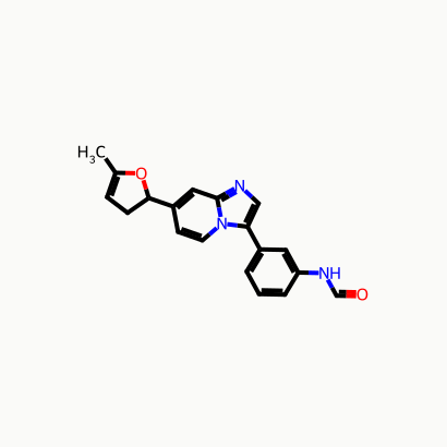 CC1=CCC(c2ccn3c(-c4cccc(NC=O)c4)cnc3c2)O1